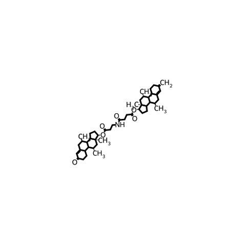 C=C1C=C2C[C@@H](C)C3C(C2CC1)[C@@H](C)C[C@@]1(C)C3CC[C@@H]1OC(=O)CCC(=O)NCCC(=O)O[C@H]1CCC2C3C(C4CCC(=O)C=C4C[C@H]3C)[C@@H](C)C[C@@]21C